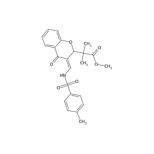 COC(=O)C(C)(C)C1Oc2ccccc2C(=O)/C1=C\NS(=O)(=O)c1ccc(C)cc1